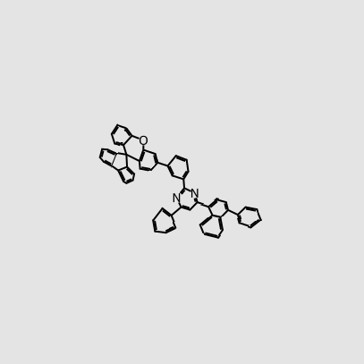 c1ccc(-c2cc(-c3ccc(-c4ccccc4)c4ccccc34)nc(-c3cccc(-c4ccc5c(c4)Oc4ccccc4C54c5ccccc5-c5ccccc54)c3)n2)cc1